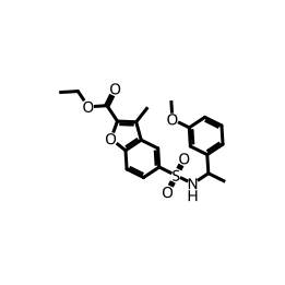 CCOC(=O)c1oc2ccc(S(=O)(=O)NC(C)c3cccc(OC)c3)cc2c1C